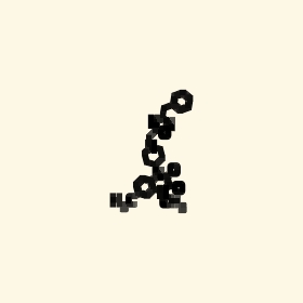 Cc1ccc2c(c1)n(C)c(=O)c(=O)n2C1CCN(Cc2nc(Cc3ccccc3)no2)CC1